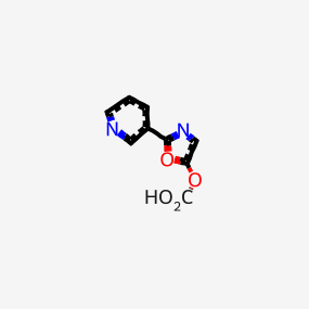 O=C(O)Oc1cnc(-c2cccnc2)o1